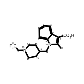 Cc1c(C(=O)O)c2ccccc2n1CC1CCN(CC(F)(F)F)CC1